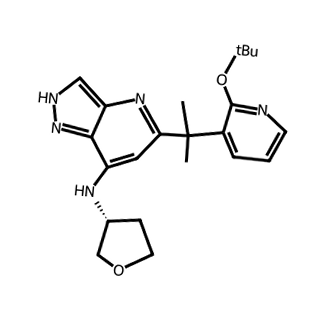 CC(C)(C)Oc1ncccc1C(C)(C)c1cc(N[C@@H]2CCOC2)c2n[nH]cc2n1